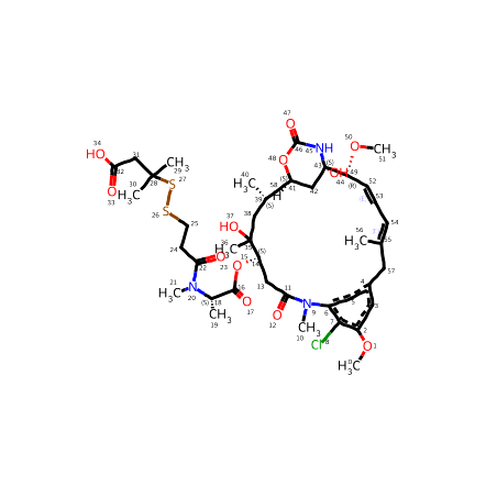 COc1cc2cc(c1Cl)N(C)C(=O)C[C@H](OC(=O)[C@H](C)N(C)C(=O)CCSSC(C)(C)CC(=O)O)C(C)(O)C[C@H](C)[C@@H]1C[C@@](O)(NC(=O)O1)[C@H](OC)/C=C/C=C(\C)C2